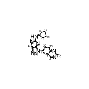 Cc1ncc2cc(-n3nnc4cnc(NC5CCCC5)nc43)ccc2n1